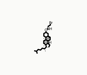 CC(C)CCC[C@@H](C)[C@H]1CC[C@H]2[C@@H]3CC=C4CC(ONCCBr)CC[C@]4(C)[C@H]3CC[C@]12C